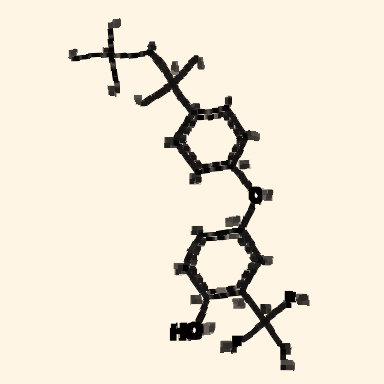 CC(C)(C)CC(C)(C)c1ccc(Oc2ccc(O)c(C(F)(F)F)c2)cc1